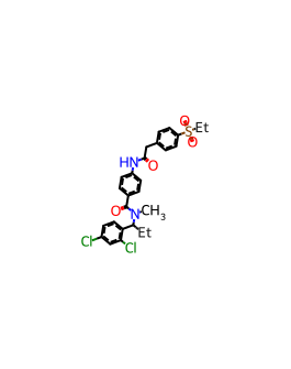 CCC(c1ccc(Cl)cc1Cl)N(C)C(=O)c1ccc(NC(=O)Cc2ccc(S(=O)(=O)CC)cc2)cc1